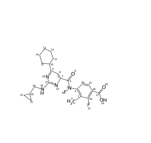 Cc1c(N(F)C(=O)c2cc(C3CCCCC3)nc(NCC3CC3)n2)ccc(C(=O)O)c1F